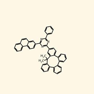 CC1(C)c2ccccc2-c2ccccc2-c2ccccc2-c2ccc(-c3nc(-c4ccccc4)nc(-c4ccc5c(ccc6ccccc65)c4)n3)cc21